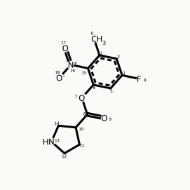 Cc1cc(F)cc(OC(=O)C2CCNC2)c1[N+](=O)[O-]